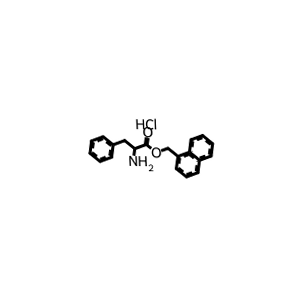 Cl.NC(Cc1ccccc1)C(=O)OCc1cccc2ccccc12